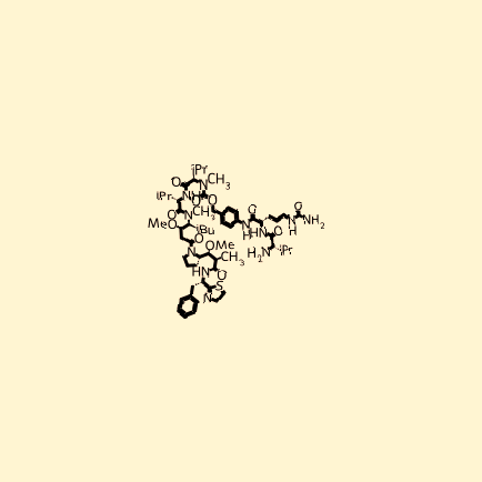 CC[C@H](C)[C@@H]([C@@H](CC(=O)N1CCC[C@H]1[C@H](OC)[C@@H](C)C(=O)N[C@@H](Cc1ccccc1)C1=NCCS1)OC)N(C)C(=O)[C@@H](NC(=O)[C@H](C(C)C)N(C)C(=O)OCc1ccc(NC(=O)[C@H](CCCNC(N)=O)NC(=O)[C@@H](N)C(C)C)cc1)C(C)C